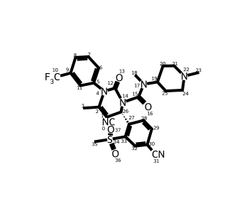 [C-]#[N+]C1=C(C)N(c2cccc(C(F)(F)F)c2)C(=O)N(C(=O)N(C)C2CCN(C)CC2)[C@@H]1c1ccc(C#N)cc1S(C)(=O)=O